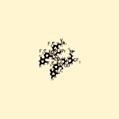 CCOC(=O)C[C@H](NC(=O)C(CC(C)C)n1cc(CCN(C)C)c(C(F)(F)F)cc1=O)c1cc(-c2c(C)cc(C)cc2C)cc(C(F)(F)F)c1F.Cc1cc(C)c(-c2cc([C@H](CC(=O)O)NC(=O)C(CC(C)C)n3cc(CCN(C)C)c(C(F)(F)F)cc3=O)c(F)c(C(F)(F)F)c2)c(C)c1